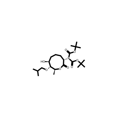 CC(C)CO[C@H]1[C@H](C)OC(=O)[C@@H](N(C(=O)OC(C)(C)C)C(=O)OC(C)(C)C)CCC[C@@H]1O